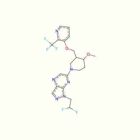 COC1CCN(c2cnc3cnn(CC(F)F)c3n2)CC1COc1cccnc1C(F)(F)F